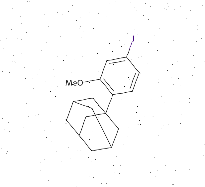 COc1cc(I)ccc1C12CC3CC(CC(C3)C1)C2